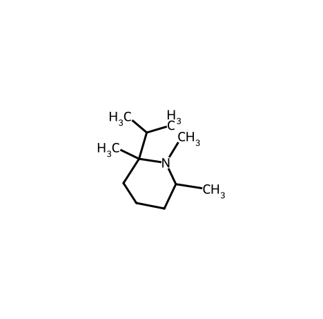 CC1CCCC(C)(C(C)C)N1C